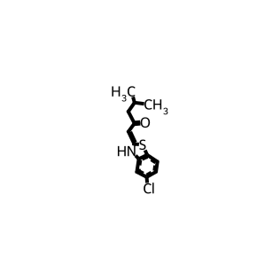 CC(C)CC(=O)/C=C1/Nc2cc(Cl)ccc2S1